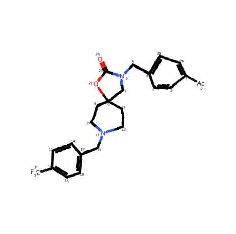 CC(=O)c1ccc(CN2CC3(CCN(Cc4ccc(C(F)(F)F)cc4)CC3)OC2=O)cc1